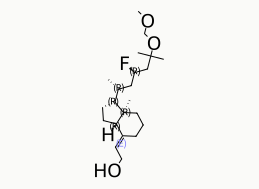 COCOC(C)(C)C[C@H](F)C[C@@H](C)[C@H]1CC[C@H]2/C(=C/CO)CCC[C@]12C